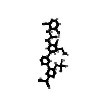 CCn1nc(-c2cccc(-c3cc(C(=O)O)ccc3OC(F)(F)F)c2)cc(NC(=O)Nc2c(Cl)cncc2Cl)c1=O